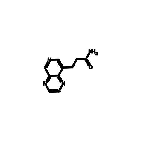 NC(=O)CCc1cncc2nc[c]nc12